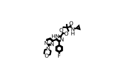 CC1(C(=O)NC2CC2)COC(c2nc(-c3ccc(F)cc3)c(-c3ccnc(N4CCOCC4)n3)[nH]2)OC1